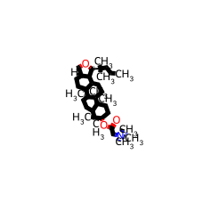 CCCC(C)(C)[C@@H]1OC[C@H]2CC[C@]3(C)C(CCC4[C@@]5(C)CCC(OC(=O)C[N+](C)(C)C)C(C)(C)C5CC[C@]43C)C21